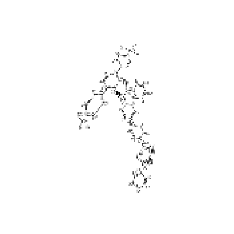 CC(C)(C)c1ccc(-c2ccc(-c3ccc(C(C)(C)C)cc3)c3nc(-c4ccc(-c5ccc(-c6nnc(-c7ccccc7)o6)cc5)cc4)c(-c4ccccc4)nc23)cc1